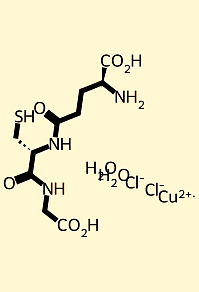 N[C@@H](CCC(=O)N[C@@H](CS)C(=O)NCC(=O)O)C(=O)O.O.O.[Cl-].[Cl-].[Cu+2]